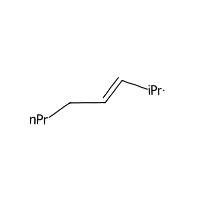 CCCCC=C[C](C)C